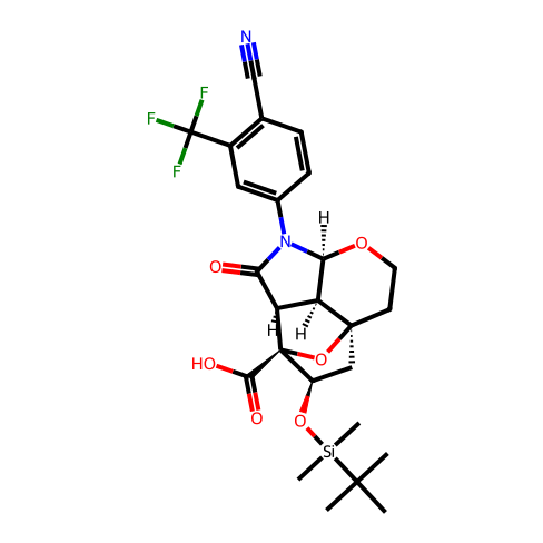 CC(C)(C)[Si](C)(C)O[C@@H]1C[C@@]23CCO[C@H]4[C@@H]2[C@H](C(=O)N4c2ccc(C#N)c(C(F)(F)F)c2)[C@]1(C(=O)O)O3